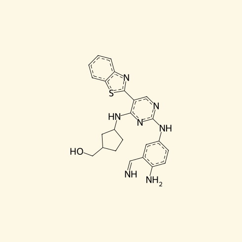 N=Cc1cc(Nc2ncc(-c3nc4ccccc4s3)c(NC3CCC(CO)C3)n2)ccc1N